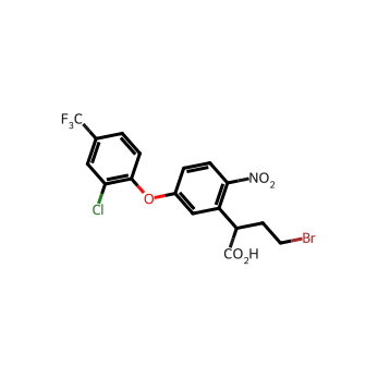 O=C(O)C(CCBr)c1cc(Oc2ccc(C(F)(F)F)cc2Cl)ccc1[N+](=O)[O-]